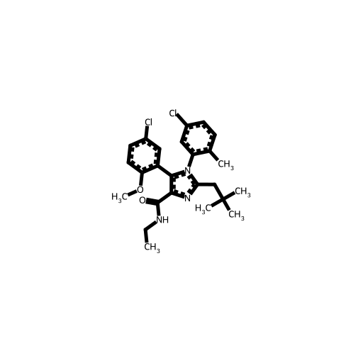 CCNC(=O)c1nc(CC(C)(C)C)n(-c2cc(Cl)ccc2C)c1-c1cc(Cl)ccc1OC